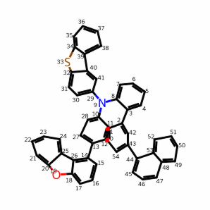 c1cc(-c2ccccc2N(c2ccc(-c3cccc4oc5ccccc5c34)cc2)c2ccc3sc4ccccc4c3c2)cc(-c2cccc3ccccc23)c1